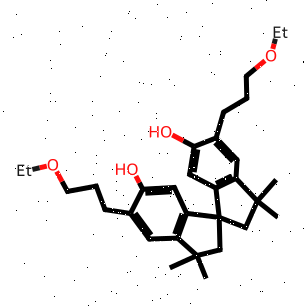 CCOCCCc1cc2c(cc1O)C1(CC2(C)C)CC(C)(C)c2cc(CCCOCC)c(O)cc21